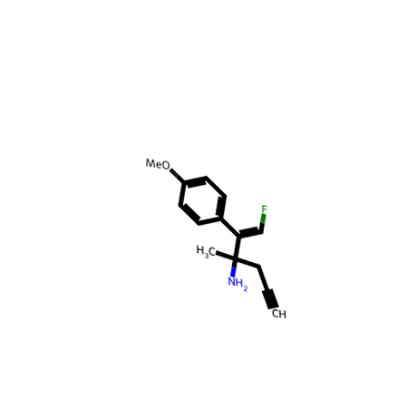 C#CCC(C)(N)/C(=C/F)c1ccc(OC)cc1